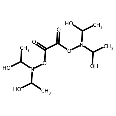 CC(O)N(OC(=O)C(=O)ON(C(C)O)C(C)O)C(C)O